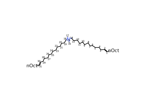 CCCCCCCCC=CCCCCCCCCCCCC[N+](C)(C)CCCCCCCCCCCCC=CCCCCCCCC